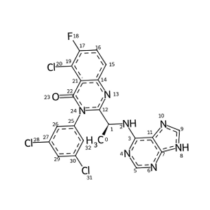 C[C@H](Nc1ncnc2[nH]cnc12)c1nc2ccc(F)c(Cl)c2c(=O)n1-c1cc(Cl)cc(Cl)c1